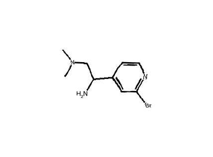 CN(C)CC(N)c1ccnc(Br)c1